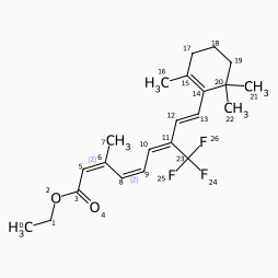 CCOC(=O)/C=C(C)\C=C/C=C(C=CC1=C(C)CCCC1(C)C)C(F)(F)F